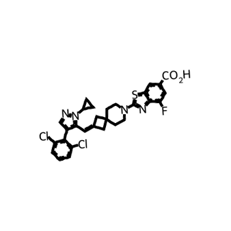 O=C(O)c1cc(F)c2nc(N3CCC4(CC3)CC(=Cc3c(-c5c(Cl)cccc5Cl)cnn3C3CC3)C4)sc2c1